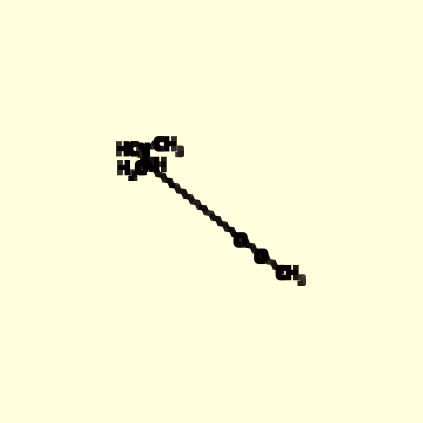 C#CN(CCCC)CCC(=C)NCCCCCCCCCCCCCCCCCCCCCCCCCCOCCCCCOCCCCCC